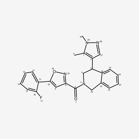 Cc1c(C2CN(C(=O)c3cc(-c4ccccc4F)on3)Cc3ccccc32)cnn1C